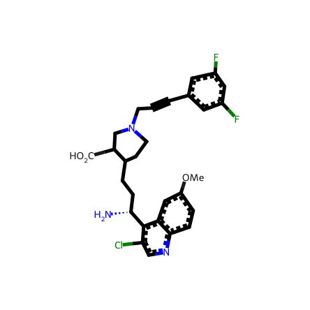 COc1ccc2ncc(Cl)c([C@H](N)CCC3CCN(CC#Cc4cc(F)cc(F)c4)CC3C(=O)O)c2c1